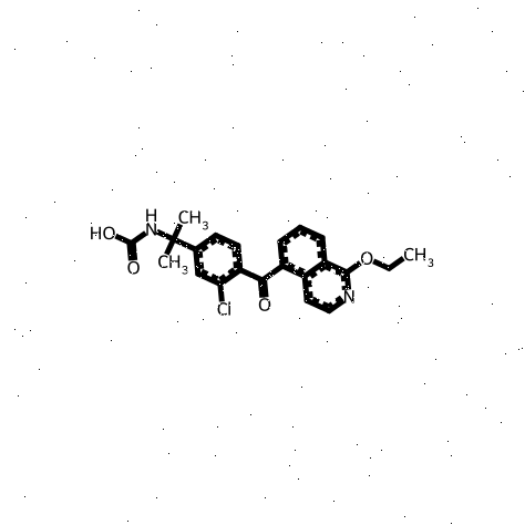 CCOc1nccc2c(C(=O)c3ccc(C(C)(C)NC(=O)O)cc3Cl)cccc12